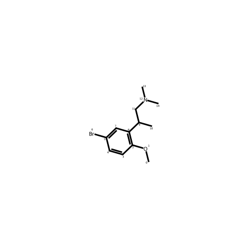 COc1ccc(Br)cc1C(C)CN(C)C